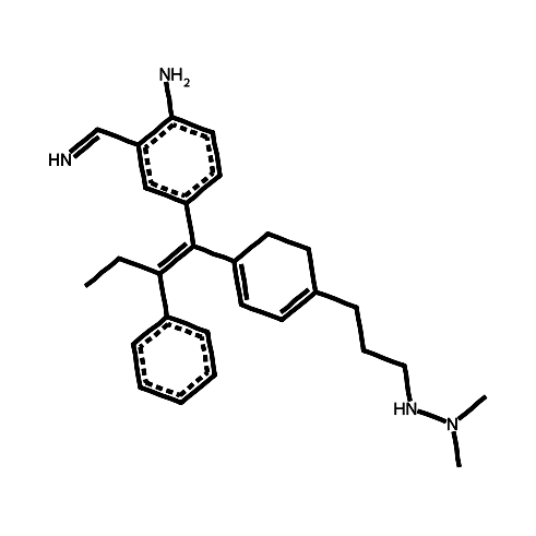 CC/C(=C(/C1=CC=C(CCCNN(C)C)CC1)c1ccc(N)c(C=N)c1)c1ccccc1